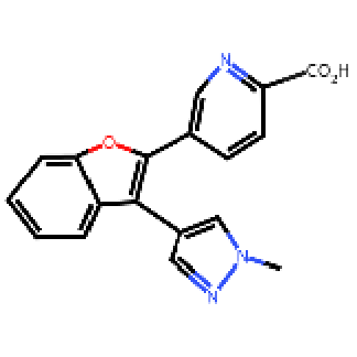 Cn1cc(-c2c(-c3ccc(C(=O)O)nc3)oc3ccccc23)cn1